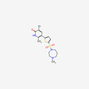 CCc1cc(-c2ccc(S(=O)(=O)N3CCCN(C)CC3)s2)c(C)[nH]c1=O